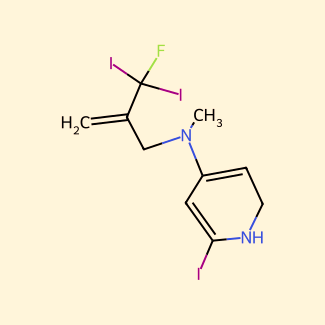 C=C(CN(C)C1=CCNC(I)=C1)C(F)(I)I